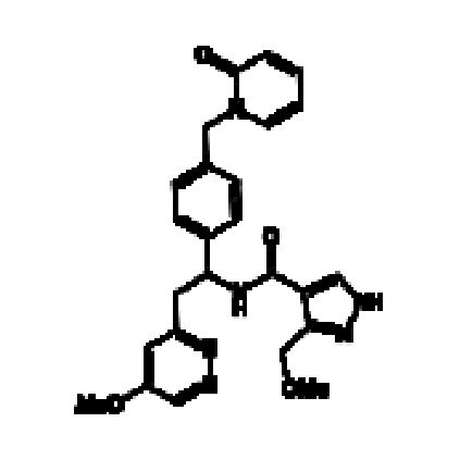 COCc1n[nH]cc1C(=O)NC(Cc1cc(OC)cnn1)c1ccc(Cn2ccccc2=O)cc1